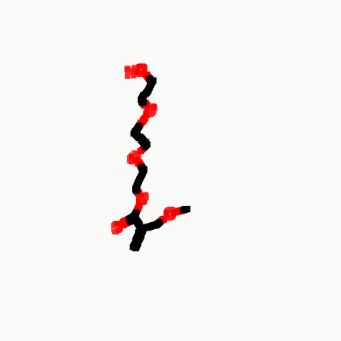 C=C(COC)C(=O)OCCOCCOCCO